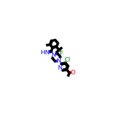 CC(=O)c1cnc(N2CCN(C(=N)C3=C(C(C)(C)F)CCC=C3C)CC2)c(Cl)c1